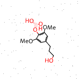 COc1cc(CCCO)cc(OC)c1OB(O)O